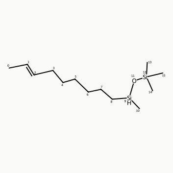 CC=CCCCCCC[SiH](C)O[Si](C)(C)C